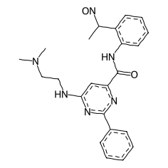 CC(N=O)c1ccccc1NC(=O)c1cc(NCCN(C)C)nc(-c2ccccc2)n1